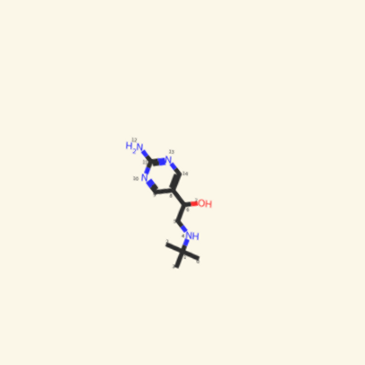 CC(C)(C)NCC(O)c1cnc(N)nc1